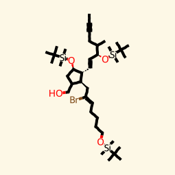 CC#CCC(C)[C@@H](/C=C/[C@H]1[C@H](O[Si](C)(C)C(C)(C)C)CC(CO)[C@@H]1C/C(Br)=C/CCCCO[Si](C)(C)C(C)(C)C)O[Si](C)(C)C(C)(C)C